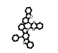 c1ccc(-c2c3sc4ccccc4c3cc3c2c2ccccc2n3-c2nc3ccccc3nc2-c2cccc3c2oc2ccccc23)cc1